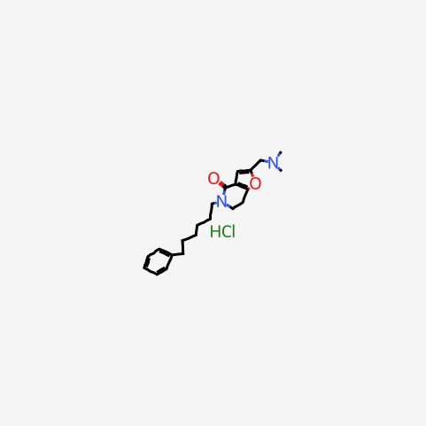 CN(C)Cc1cc2c(o1)CCN(CCCCCCc1ccccc1)C2=O.Cl